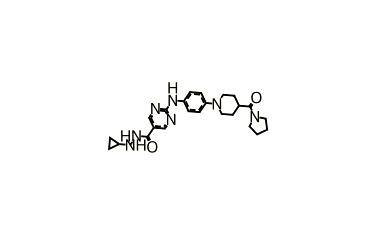 O=C(NNC1CC1)c1cnc(Nc2ccc(N3CCC(C(=O)N4CCCC4)CC3)cc2)nc1